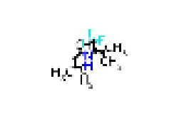 CC(C)C[C@@H](C)N[C@H](C(C)C)C(F)(F)F